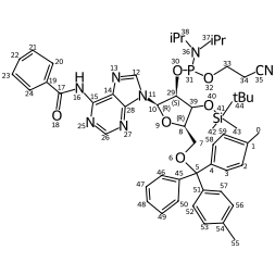 Cc1ccc(C(OC[C@H]2O[C@@H](n3cnc4c(NC(=O)c5ccccc5)ncnc43)[C@@H](OP(OCCC#N)N(C(C)C)C(C)C)C2O[Si](C)(C)C(C)(C)C)(c2ccccc2)c2ccc(C)cc2)cc1